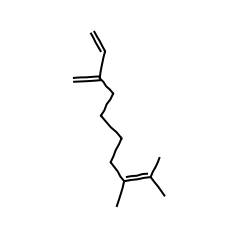 C=CC(=C)CCCCC(C)=C(C)C